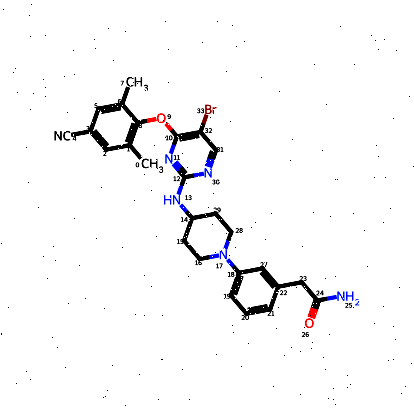 Cc1cc(C#N)cc(C)c1Oc1nc(NC2CCN(c3cccc(CC(N)=O)c3)CC2)ncc1Br